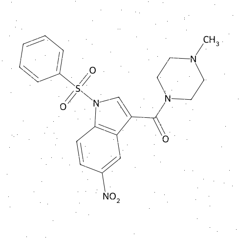 CN1CCN(C(=O)c2cn(S(=O)(=O)c3ccccc3)c3ccc([N+](=O)[O-])cc23)CC1